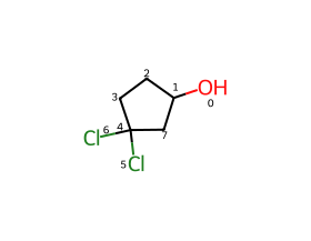 OC1CCC(Cl)(Cl)C1